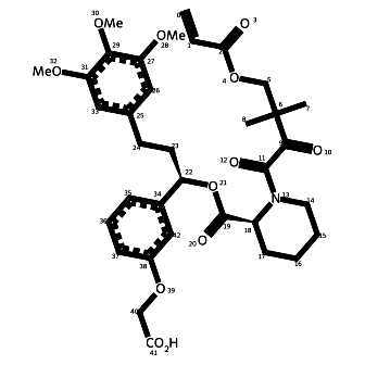 C=CC(=O)OCC(C)(C)C(=O)C(=O)N1CCCC[C@H]1C(=O)O[C@H](CCc1cc(OC)c(OC)c(OC)c1)c1cccc(OCC(=O)O)c1